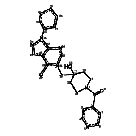 O=C(c1ccncc1)N1CCC(O)(Cn2cnc3c(cnn3-c3ccccc3)c2=O)CC1